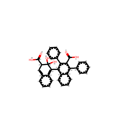 O=C(O)c1c(-c2ccccc2)c(C2=c3ccccc3=CC(C(=O)O)C2(O)O)c2ccccc2c1-c1ccccc1